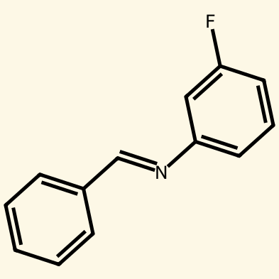 Fc1cccc(/N=C/c2ccccc2)c1